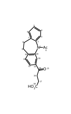 CC(=O)N1c2ccccc2CCc2ccc(C(=O)CCC(=O)O)cc21